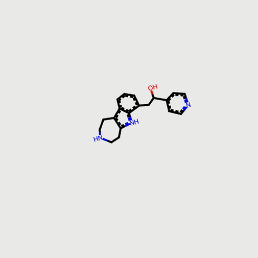 OC(Cc1cccc2c3c([nH]c12)CCNCC3)c1ccncc1